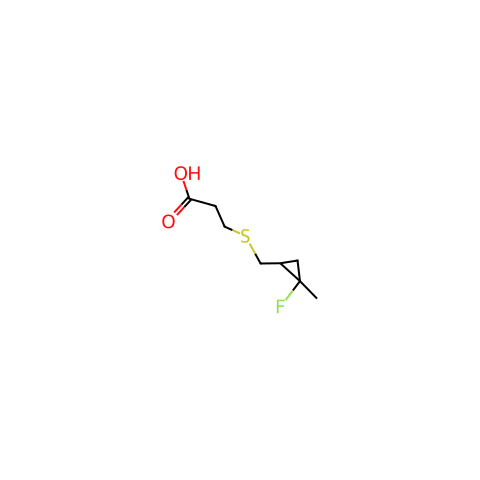 CC1(F)CC1CSCCC(=O)O